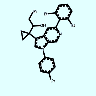 CCc1cccc(CC)c1-c1cc2c(C3(C(O)CC(C)C)CC3)cn(-c3ccc(C(C)C)cc3)c2cn1